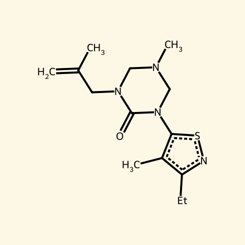 C=C(C)CN1CN(C)CN(c2snc(CC)c2C)C1=O